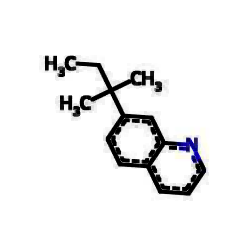 CCC(C)(C)c1ccc2cccnc2c1